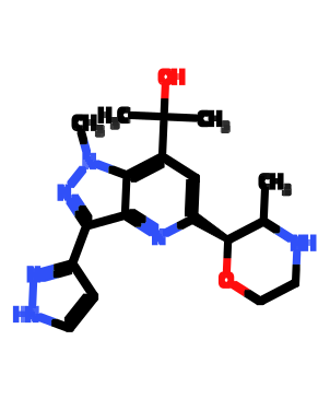 CC1NCCO[C@H]1c1cc(C(C)(C)O)c2c(n1)c(-c1cc[nH]n1)nn2C